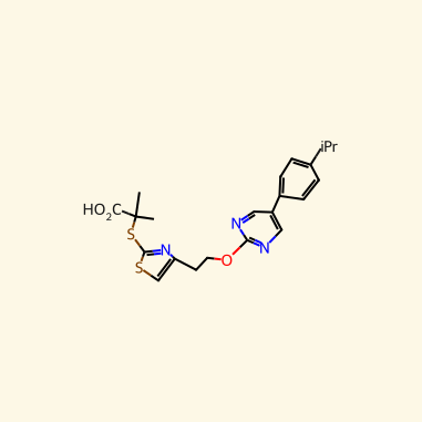 CC(C)c1ccc(-c2cnc(OCCc3csc(SC(C)(C)C(=O)O)n3)nc2)cc1